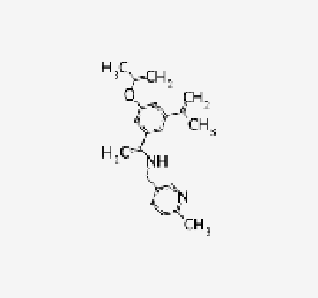 C=C(C)Oc1cc(C(=C)C)cc(C(=C)NCc2ccc(C)nc2)c1